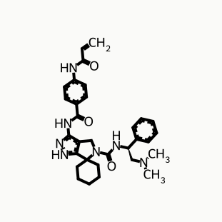 C=CC(=O)Nc1ccc(C(=O)Nc2n[nH]c3c2CN(C(=O)N[C@H](CN(C)C)c2ccccc2)C32CCCCC2)cc1